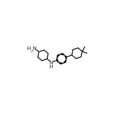 CC1(C)CCC(c2ccc(NC3CCC(N)CC3)cc2)CC1